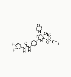 CCOc1c(C2OC(C)O2)nc(-c2ccc(NC(=O)Nc3ccc(F)c(F)c3)cc2)nc1N1CCOCC1